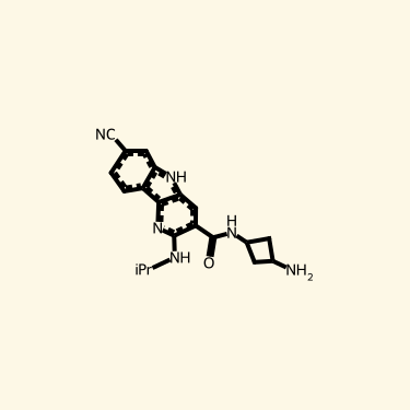 CC(C)Nc1nc2c(cc1C(=O)NC1CC(N)C1)[nH]c1cc(C#N)ccc12